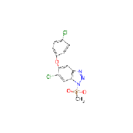 CS(=O)(=O)n1nnc2cc(Oc3ccc(Cl)cc3)c(Cl)cc21